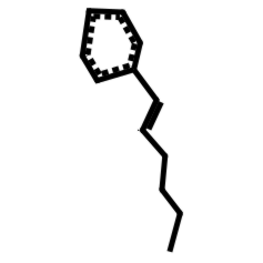 CCCC[C]=Cc1ccccc1